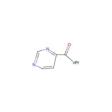 CCCC(=O)c1ccncn1